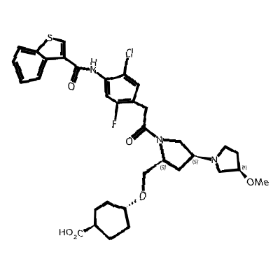 CO[C@@H]1CCN([C@H]2C[C@@H](CO[C@H]3CC[C@H](C(=O)O)CC3)N(C(=O)Cc3cc(Cl)c(NC(=O)c4csc5ccccc45)cc3F)C2)C1